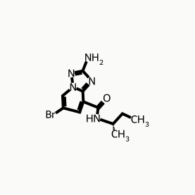 CC[C@H](C)NC(=O)c1cc(Br)cn2nc(N)nc12